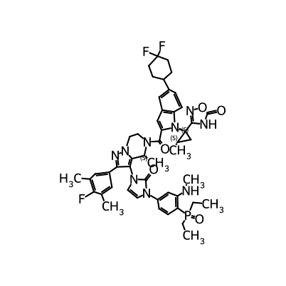 CCP(=O)(CC)c1ccc(-n2ccn(-c3c(-c4cc(C)c(F)c(C)c4)nn4c3[C@H](C)N(C(=O)c3cc5cc(C6CCC(F)(F)CC6)ccc5n3[C@@]3(c5noc(=O)[nH]5)C[C@@H]3C)CC4)c2=O)cc1NC